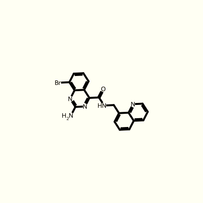 Nc1nc(C(=O)NCc2cccc3cccnc23)c2cccc(Br)c2n1